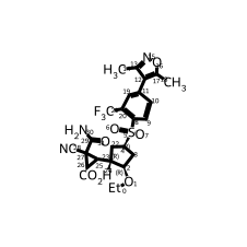 CCO[C@@H]1C[C@H](S(=O)(=O)c2ccc(-c3c(C)noc3C)cc2C(F)(F)F)C[C@@]1(C(=O)O)C1CC1(C#N)C(N)=O